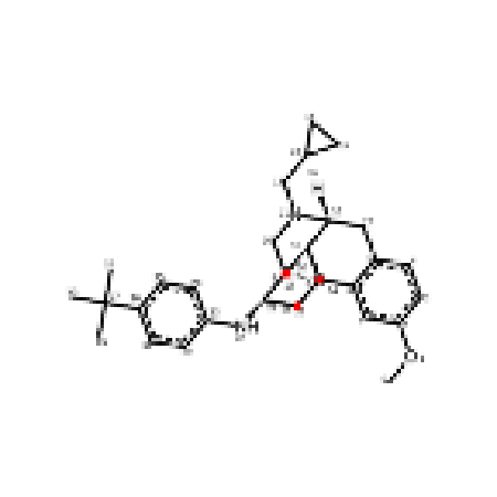 COc1ccc2c(c1)[C@]13CCN(CC4CC4)[C@H](C2)[C@]12CC[C@@](Nc1ccc(C(C)(C)C)cc1)(CO2)C3